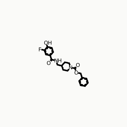 O=C(NCC1CCN(C(=O)OCc2ccccc2)CC1)c1ccc(O)c(F)c1